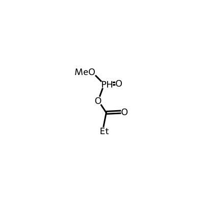 CCC(=O)O[PH](=O)OC